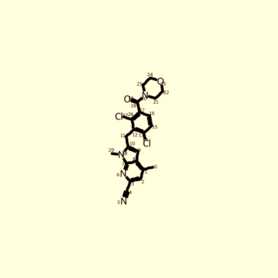 Cc1cc(C#N)nc2c1cc(Cc1c(Cl)ccc(C(=O)N3CCOCC3)c1Cl)n2C